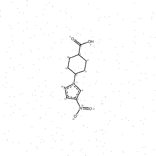 O=C(O)C1CCC(n2cc([N+](=O)[O-])cn2)CC1